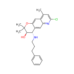 Cc1cc(Cl)nc2cc3c(cc12)OC(C)(C)[C@H](O)[C@H]3NCCCc1ccccc1